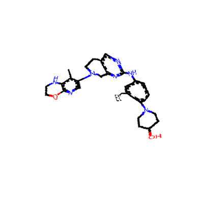 CCc1cc(Nc2ncc3c(n2)CN(c2cnc4c(c2C)NCCO4)CC3)ccc1N1CCC(O)CC1